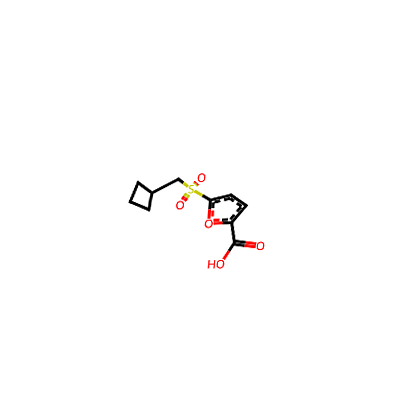 O=C(O)c1ccc(S(=O)(=O)CC2CCC2)o1